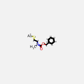 CC(=O)SCCN(C)C(=O)OCc1ccccc1